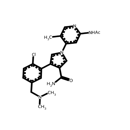 CC(=O)Nc1cc(-n2cc(C(N)=O)c(-c3cc(CN(C)C)ccc3Cl)c2)c(C)cn1